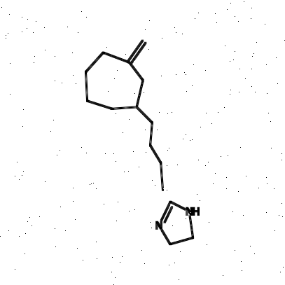 C1=NCCN1.C=C1CCCCC(CCCC)C1